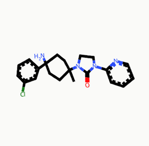 CC1(N2CCN(c3ccccn3)C2=O)CCC(N)(c2cccc(Cl)c2)CC1